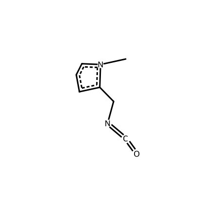 Cn1cccc1CN=C=O